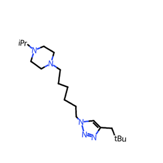 CC(C)N1CCN(CCCCCCn2cc(CC(C)(C)C)nn2)CC1